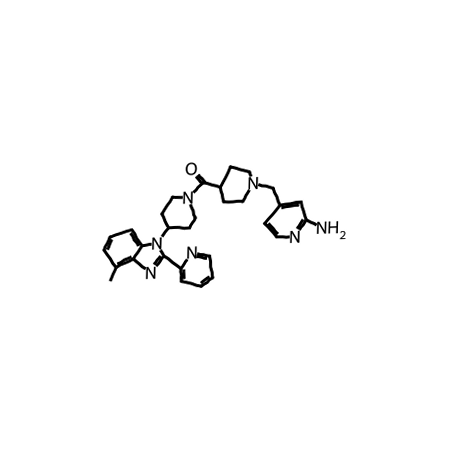 Cc1cccc2c1nc(-c1ccccn1)n2C1CCN(C(=O)C2CCN(Cc3ccnc(N)c3)CC2)CC1